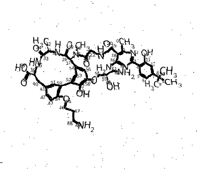 Cc1nc(-c2ccc(C(C)(C)C)cc2O)nc(N)c1C(=O)NCC(=O)N(C)[C@@H]1C(=O)N[C@@H](C)C(=O)N[C@H](C(=O)O)Cc2ccc(OCCCN)c(c2)-c2cc1cc(OC[C@H](O)CN)c2O